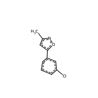 Cc1cc(-c2cccc(Cl)c2)on1